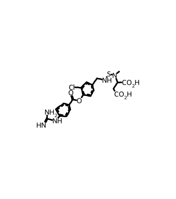 CN(SNCc1ccc(OC(=O)c2ccc(NC(=N)N)cc2)c(Cl)c1)C(CC(=O)O)C(=O)O